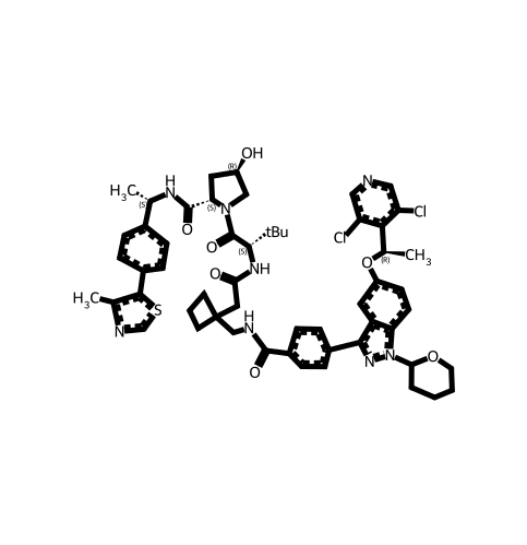 Cc1ncsc1-c1ccc([C@H](C)NC(=O)[C@@H]2C[C@@H](O)CN2C(=O)[C@@H](NC(=O)CC2(CNC(=O)c3ccc(-c4nn(C5CCCCO5)c5ccc(O[C@H](C)c6c(Cl)cncc6Cl)cc45)cc3)CCC2)C(C)(C)C)cc1